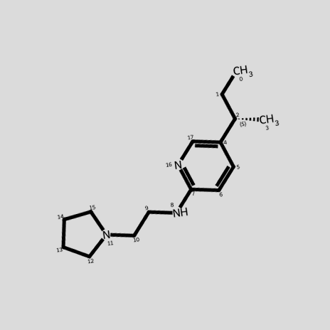 CC[C@H](C)c1ccc(NCCN2CCCC2)nc1